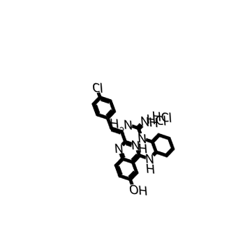 Cl.Cl.N=C(N)NC1CCCCC1Nc1nc(/C=C/c2ccc(Cl)cc2)nc2ccc(O)cc12